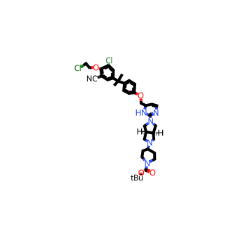 CC(C)(C)OC(=O)N1CCC(N2C[C@H]3CN(C4=NC=CC(COc5ccc(C(C)(C)c6cc(Cl)c(OCCCl)c(C#N)c6)cc5)N4)C[C@H]3C2)CC1